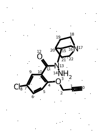 C#CCOc1ccc(Cl)cc1C(=O)N(N)C1CN2CCC1CC2